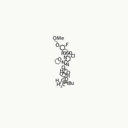 COCCOc1cc(F)c(CS(=O)(=O)c2nc3c(cc2Cl)nc(O[C@@H]2CO[C@H]4[C@@H]2OC[C@H]4O[Si](C)(C)C(C)(C)C)n3C2CCCCO2)c(F)c1